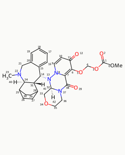 COC(=O)OCOc1c2n(ccc1=O)N([C@H]1c3ccccc3CN(C)[C@@H]3C4CCC(CC4)[C@H]31)[C@@H]1COCCN1C2=O